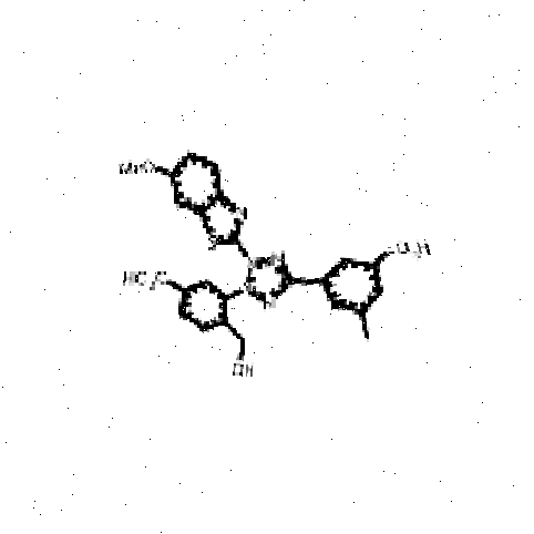 COc1ccc2nc(-n3nc(-c4cc(C)cc(S(=O)(=O)O)c4)n[n+]3-c3cc(C(=O)O)ccc3CO)sc2c1